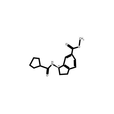 COC(=O)c1ccc2c(c1)[C@H](NC(=O)C1CCCC1)CC2